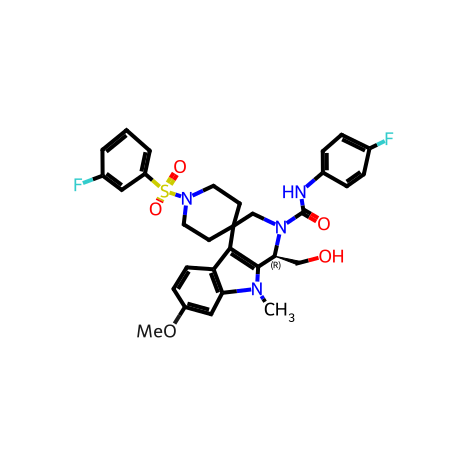 COc1ccc2c3c(n(C)c2c1)[C@H](CO)N(C(=O)Nc1ccc(F)cc1)CC31CCN(S(=O)(=O)c2cccc(F)c2)CC1